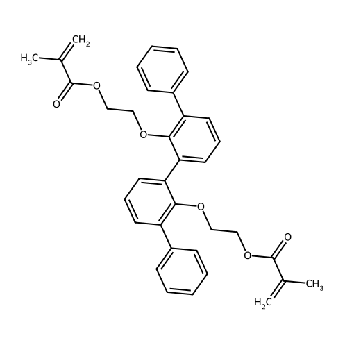 C=C(C)C(=O)OCCOc1c(-c2ccccc2)cccc1-c1cccc(-c2ccccc2)c1OCCOC(=O)C(=C)C